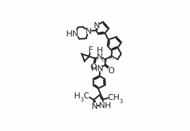 Cc1n[nH]c(C)c1-c1ccc(NC(=O)[C@@H](NC(=O)C2(F)CC2)[C@@H]2CCc3ccc(-c4ccnc(N5CCNCC5)c4)cc32)cc1